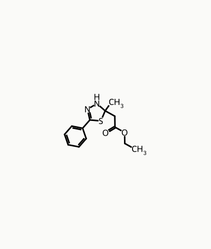 CCOC(=O)CC1(C)NN=C(c2ccccc2)S1